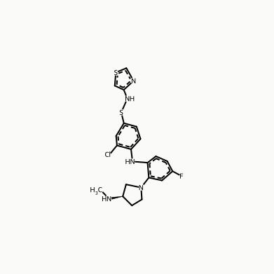 CN[C@@H]1CCN(c2cc(F)ccc2Nc2ccc(SNc3cscn3)cc2Cl)C1